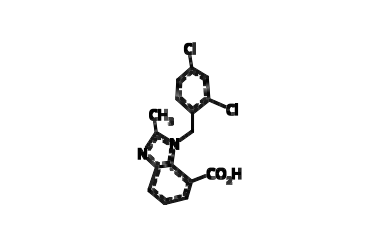 Cc1nc2cccc(C(=O)O)c2n1Cc1ccc(Cl)cc1Cl